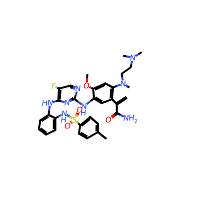 C=C(C(N)=O)c1cc(Nc2ncc(F)c(Nc3ccccc3NS(=O)(=O)c3ccc(C)cc3)n2)c(OC)cc1N(C)CCN(C)C